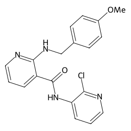 COc1ccc(CNc2ncccc2C(=O)Nc2cccnc2Cl)cc1